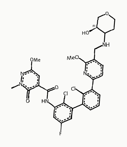 COc1cc(C(=O)Nc2cc(F)cc(-c3cccc(-c4ccc(CNC5CCOC[C@@H]5O)c(OC)n4)c3Cl)c2Cl)c(=O)n(C)n1